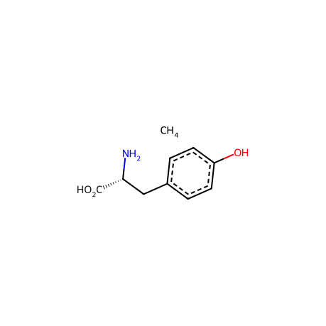 C.N[C@H](Cc1ccc(O)cc1)C(=O)O